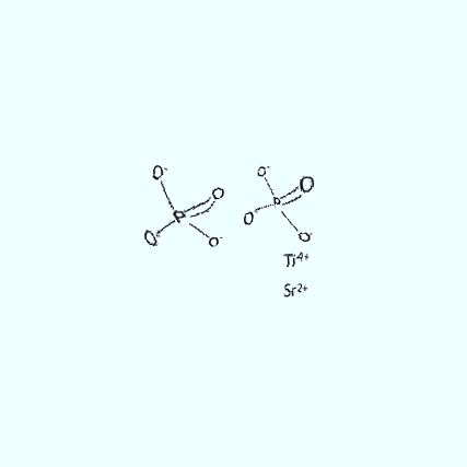 O=P([O-])([O-])[O-].O=P([O-])([O-])[O-].[Sr+2].[Ti+4]